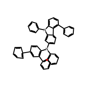 c1ccc(-c2ccc(N(c3ccccc3)c3ccc4c5c(-c6ccccc6)cccc5n(-c5ccccc5)c4c3)c(-c3ccccc3)c2)cc1